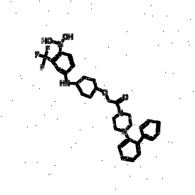 O=C(COC1CCC(Nc2ccc(N(O)O)c(C(F)(F)F)c2)CC1)N1CCN(c2ccccc2-c2ccccc2)CC1